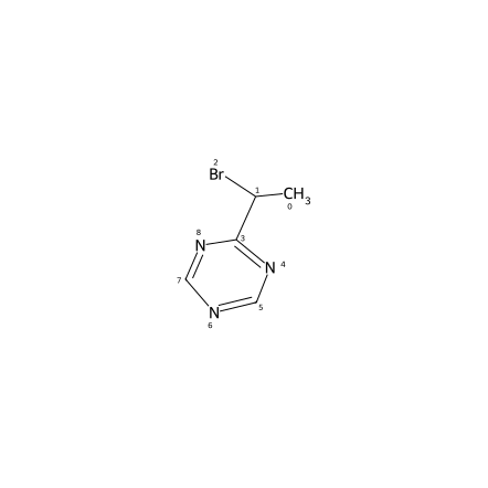 CC(Br)c1ncncn1